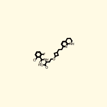 O=C(NC(CCOC1CC(CCc2ccc3c(n2)NCCC3)C1)C(=O)O)c1c(F)cccc1Cl